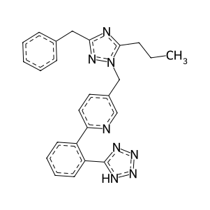 CCCc1nc(Cc2ccccc2)nn1Cc1ccc(-c2ccccc2-c2nnn[nH]2)nc1